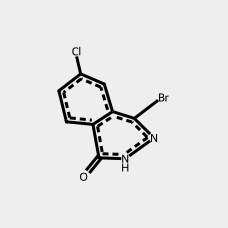 O=c1[nH]nc(Br)c2cc(Cl)ccc12